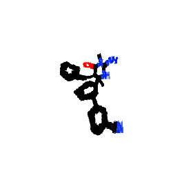 CN1C(=N)N[C@](C)(c2cccc(-c3cccc(C#N)c3)c2)[C@H](Cc2ccccc2)C1=O